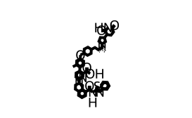 Cc1cc(OC2CCC(CC[C@@H](C)N3CCC(C4CCC(=O)NC4=O)C3)CC2)ccc1-c1ccc(N2CCc3cccc(C(=O)Nc4nc5ccccc5s4)c3C2)nc1C(=O)O